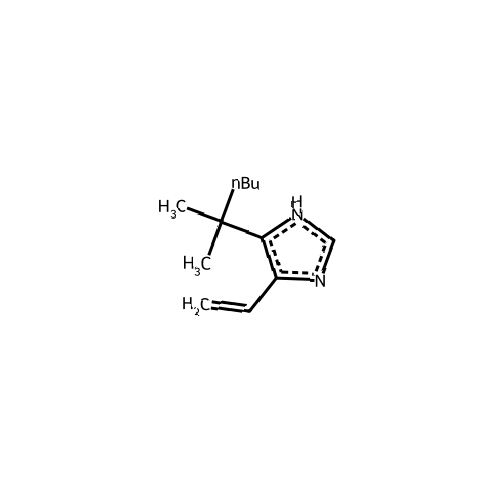 C=Cc1nc[nH]c1C(C)(C)CCCC